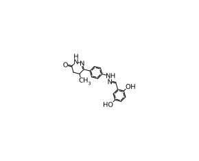 CC1CC(=O)NN=C1c1ccc(NN=Cc2cc(O)ccc2O)cc1